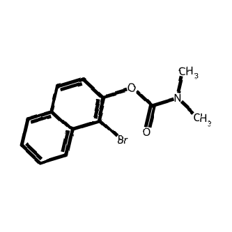 CN(C)C(=O)Oc1ccc2ccccc2c1Br